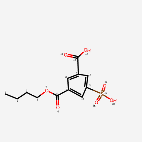 CCCCOC(=O)c1cc(C(=O)O)cc(S(=O)(=O)O)c1